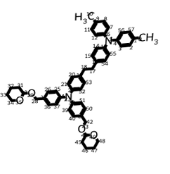 Cc1ccc(N(c2ccc(C)cc2)c2ccc(CCc3ccc(N(c4ccc(COC5CCCCO5)cc4)c4ccc(COC5CCCCO5)cc4)cc3)cc2)cc1